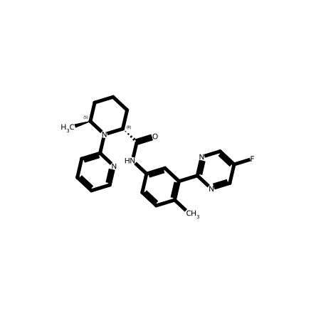 Cc1ccc(NC(=O)[C@H]2CCC[C@H](C)N2c2ccccn2)cc1-c1ncc(F)cn1